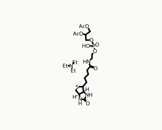 CC(=O)OCC(COP(=O)(O)OCCNC(=O)CCCCC1SC[C@@H]2NC(=O)N[C@H]12)OC(C)=O.CCN(CC)CC